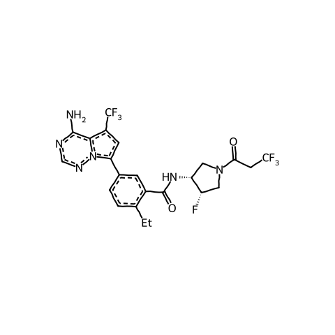 CCc1ccc(-c2cc(C(F)(F)F)c3c(N)ncnn23)cc1C(=O)N[C@@H]1CN(C(=O)CC(F)(F)F)C[C@@H]1F